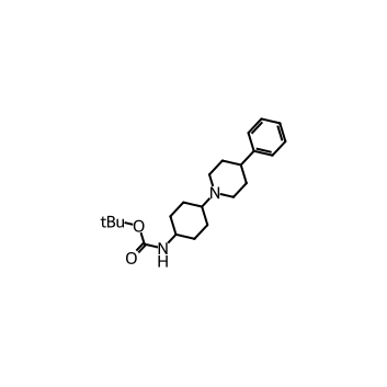 CC(C)(C)OC(=O)NC1CCC(N2CCC(c3ccccc3)CC2)CC1